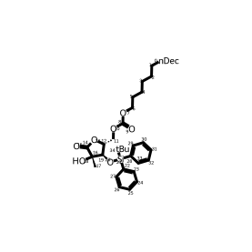 CCCCCCCCCCCCCCCCOC(=O)OC[C@H]1OC(=O)[C@@](C)(O)[C@@H]1O[Si](c1ccccc1)(c1ccccc1)C(C)(C)C